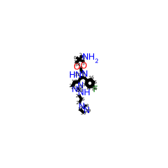 CC1(CN)COC(c2nc(-c3ccc(F)cc3)c(-c3ccnc(NCCCN4C=NCC4)n3)[nH]2)OC1